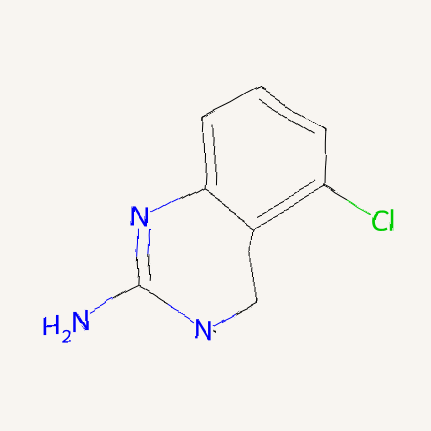 NC1=Nc2cccc(Cl)c2C[N]1